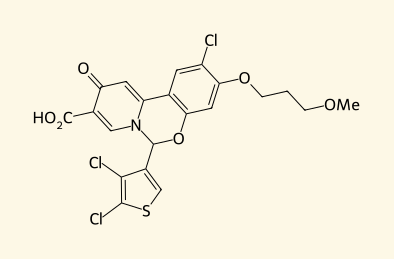 COCCCOc1cc2c(cc1Cl)-c1cc(=O)c(C(=O)O)cn1C(c1csc(Cl)c1Cl)O2